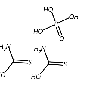 NC(O)=S.NC(O)=S.O=P(O)(O)O